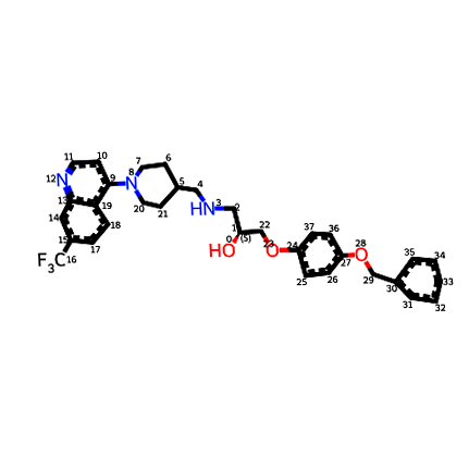 O[C@@H](CNCC1CCN(c2ccnc3cc(C(F)(F)F)ccc23)CC1)COc1ccc(OCc2ccccc2)cc1